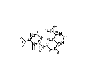 CN(C)C1=NCN=C(N(C)CCN(C)C2=NCN=C(N(C)C)N2C)N1